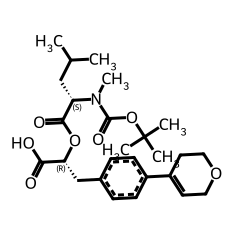 CC(C)C[C@@H](C(=O)O[C@H](Cc1ccc(C2=CCOCC2)cc1)C(=O)O)N(C)C(=O)OC(C)(C)C